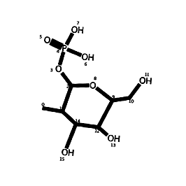 CC1C(OP(=O)(O)O)OC(CO)C(O)C1O